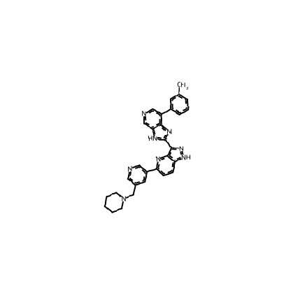 Cc1cccc(-c2cncc3[nH]c(-c4n[nH]c5ccc(-c6cncc(CN7CCCCC7)c6)nc45)nc23)c1